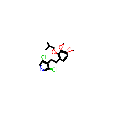 COc1ccc(CCc2c(Cl)cncc2Cl)c(OCC(C)C)c1OC